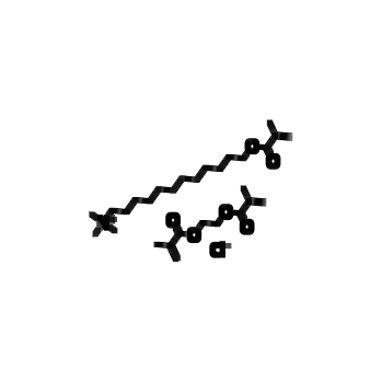 C=C(C)C(=O)OCCCCCCCCCCCC[N+](C)(C)C.C=C(C)C(=O)OCCOC(=O)C(=C)C.[Cl-]